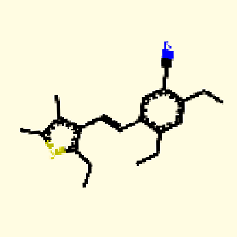 CCc1cc(CC)c(C=Cc2c(CC)sc(C)c2C)cc1C#N